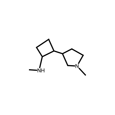 CNC1CCC1C1CCN(C)C1